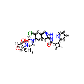 CC1(N2CCN(c3cc4cc(NC(=O)C5CCC5c5ccccn5)ncc4cc3Cl)CC2)COCC1O